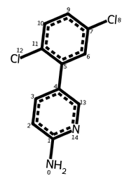 Nc1ccc(-c2cc(Cl)ccc2Cl)cn1